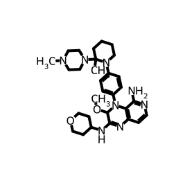 COC1C(NC2CCOCC2)=Nc2ccnc(N)c2N1c1ccc(N2CCCCC2(C)N2CCN(C)CC2)cc1